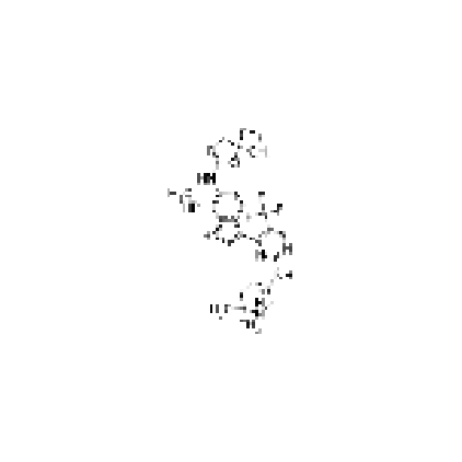 CPc1c(NC2=NCC(C)(C)O2)ccc2c(-c3nc(N[C@H]4CCC(C)(C)NC4)ncc3C(F)(F)F)c[nH]c12